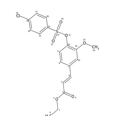 CCOC(=O)C=Cc1ccc(OS(=O)(=O)c2ccc(Cl)cc2)c(OC)c1